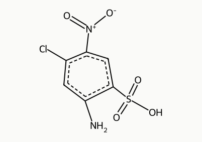 Nc1cc(Cl)c([N+](=O)[O-])cc1S(=O)(=O)O